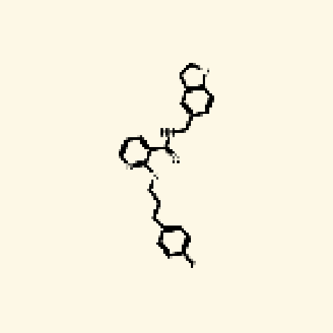 O=C(NCc1ccc2c(c1)CCO2)c1cccnc1SCCCc1ccc(F)cc1